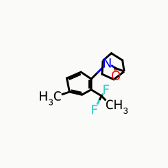 Cc1ccc(N2C(=O)C3CCC2CC3)c(C(C)(F)F)c1